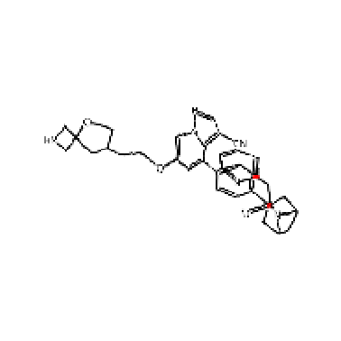 N#Cc1cnn2cc(OCCC3COC4(CNC4)C3)cc(-c3ccc(N4CC5CC(C4)N5C(=O)Cc4ccccn4)nc3)c12